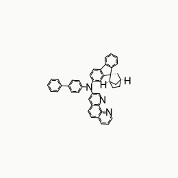 c1ccc(-c2ccc(N(c3ccc4c(c3)[C@@]3(C[C@H]5CC[C@@H]3C5)c3ccccc3-4)c3cnc4c(ccc5cccnc54)c3)cc2)cc1